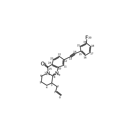 C=CCC1CCCn2c1nc1cc(C#Cc3cccc(F)c3)ccc1c2=O